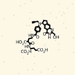 C#CCN(c1ccc(C(=O)NCCC(C(=O)O)C(=O)N[C@H](CCC(=O)O)C(=O)O)cc1)[C@H]1CCC2=CC3N=C(CO)NC(=O)C3C=C21